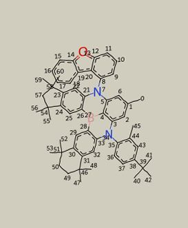 Cc1cc2c3c(c1)N(c1cccc4oc5ccccc5c14)c1cc4c(cc1B3c1cc3c(cc1N2c1ccc(C(C)(C)C)cc1C)C(C)(C)CCC3(C)C)C(C)(C)CC4(C)C